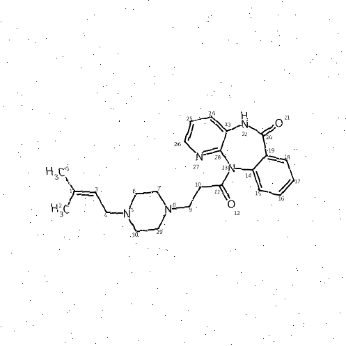 CC(C)=CCN1CCN(CCC(=O)N2c3ccccc3C(=O)Nc3cccnc32)CC1